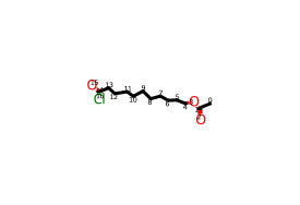 CC(=O)OCCCCCCCCCCC(=O)Cl